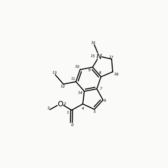 C=C(OC)C1C=Cc2c3c(cc(CC)c21)N(C)CC3